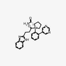 NC(=O)[C@@H]1CCC[N+]1(C(=O)CCc1nc2ccccc2[nH]1)c1ccccc1-c1cncnc1